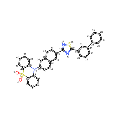 O=S1(=O)c2ccccc2N(c2ccc3cc(-c4nsc(-c5cccc(-c6ccccc6)c5)n4)ccc3c2)c2ccccc21